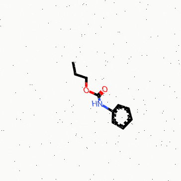 [CH2]CCOC(=O)Nc1ccccc1